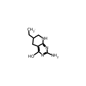 [CH2]CC1CNc2nc(N)nc(O)c2C1